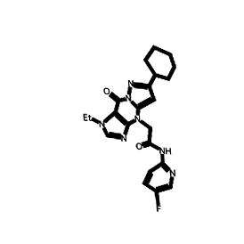 CCn1cnc2c1c(=O)n1nc(C3CCCCC3)cc1n2CC(=O)Nc1ccc(F)cn1